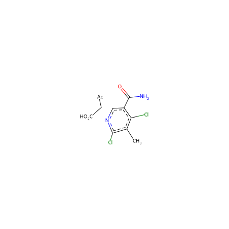 CC(=O)CC(=O)O.Cc1c(Cl)ncc(C(N)=O)c1Cl